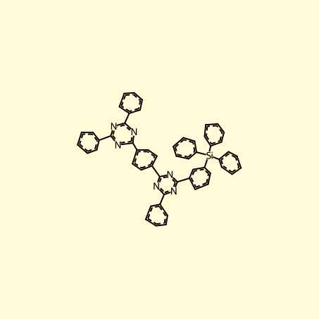 c1ccc(-c2nc(-c3ccccc3)nc(-c3ccc(-c4nc(-c5ccccc5)nc(-c5cccc([Si](c6ccccc6)(c6ccccc6)c6ccccc6)c5)n4)cc3)n2)cc1